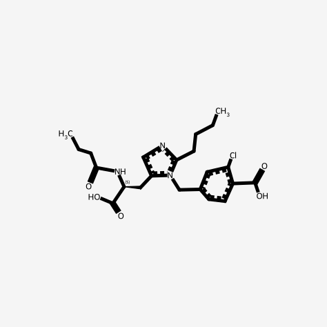 CCCCc1ncc(C[C@H](NC(=O)CCC)C(=O)O)n1Cc1ccc(C(=O)O)c(Cl)c1